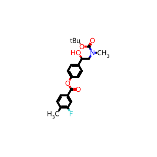 Cc1ccc(C(=O)Oc2ccc(C(O)CN(C)C(=O)OC(C)(C)C)cc2)cc1F